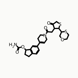 NC(=O)OC1CCc2ccc(C3=CCN(C(=O)CC4C(=O)CSC4C4COCCS4)CC3)cc21